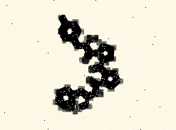 Cc1ccc(C[C@H](N)C(=O)N2CCC[C@H]2C(=O)C2CCC[C@H]2C(=O)N[C@H](CC(=O)O)Cc2ccccc2)cc1